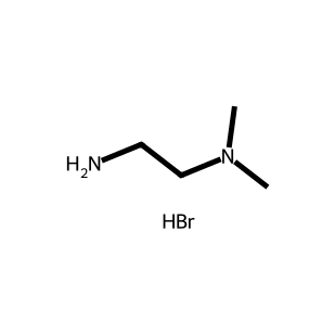 Br.CN(C)CCN